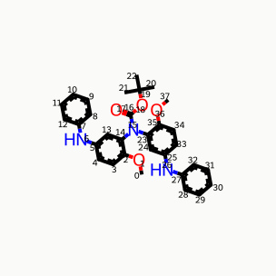 COc1ccc(Nc2ccccc2)cc1N(C(=O)OC(C)(C)C)c1cc(Nc2ccccc2)ccc1OC